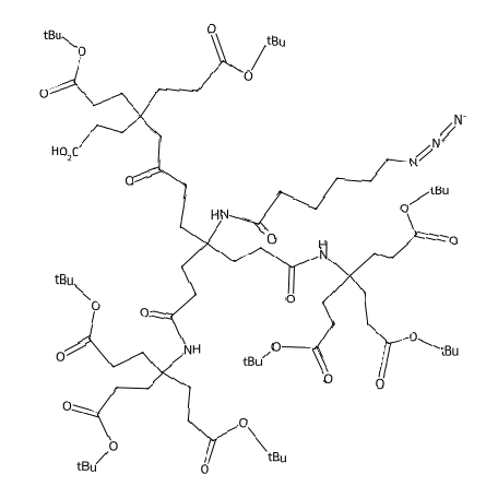 CC(C)(C)OC(=O)CCC(CCC(=O)O)(CCC(=O)OC(C)(C)C)CC(=O)CCC(CCC(=O)NC(CCC(=O)OC(C)(C)C)(CCC(=O)OC(C)(C)C)CCC(=O)OC(C)(C)C)(CCC(=O)NC(CCC(=O)OC(C)(C)C)(CCC(=O)OC(C)(C)C)CCC(=O)OC(C)(C)C)NC(=O)CCCCCN=[N+]=[N-]